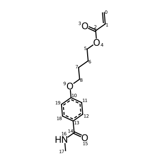 C=CC(=O)OCCCCOc1ccc(C(=O)NC)cc1